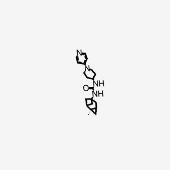 C[C@@]12CC1CC1(NC(=O)NC3CCN(c4ccncc4)CC3)CC2C1